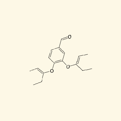 CC=C(CC)Oc1ccc(C=O)cc1OC(=CC)CC